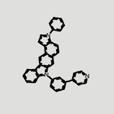 c1ccc(-n2ccc3c4cc5c6ccccc6n(-c6cccc(-c7ccncc7)c6)c5cc4ccc32)cc1